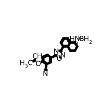 BN[C@H]1CCCc2c(-c3noc(-c4ccc(OC(C)C)c(C#N)c4)n3)cccc21